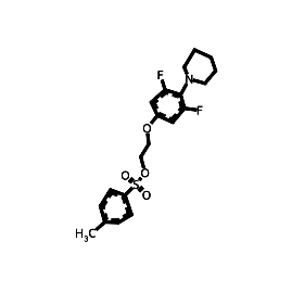 Cc1ccc(S(=O)(=O)OCCOc2cc(F)c(N3CCCCC3)c(F)c2)cc1